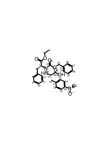 CCOC(=O)[C@H](Cc1ccccc1)N(N[C@@H](Cc1ccc([N+](=O)[O-])cc1)C(=O)O)C(=O)OCc1ccccc1